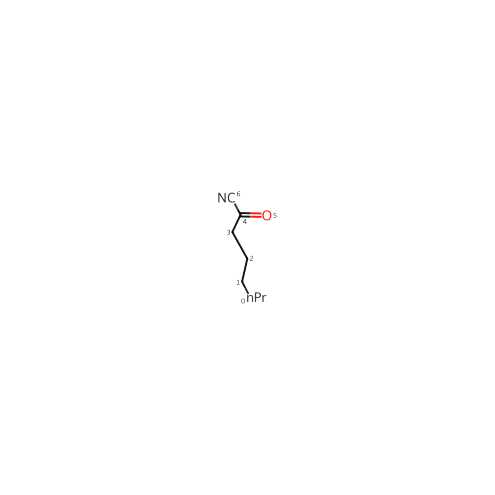 CCCCCCC(=O)C#N